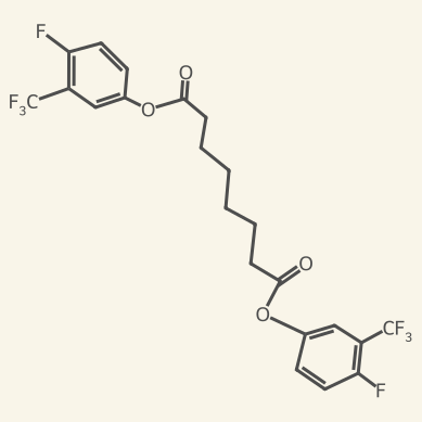 O=C(CCCCCCC(=O)Oc1ccc(F)c(C(F)(F)F)c1)Oc1ccc(F)c(C(F)(F)F)c1